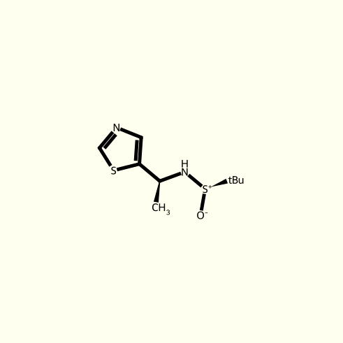 C[C@H](N[S@+]([O-])C(C)(C)C)c1cncs1